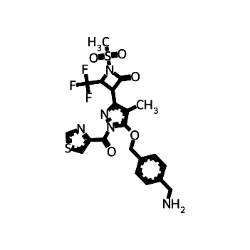 Cc1c(C2C(=O)N(S(C)(=O)=O)C2C(F)(F)F)nn(C(=O)c2cscn2)c1OCc1ccc(CN)cc1